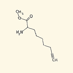 C#CCCCCCC(N)C(=O)OC